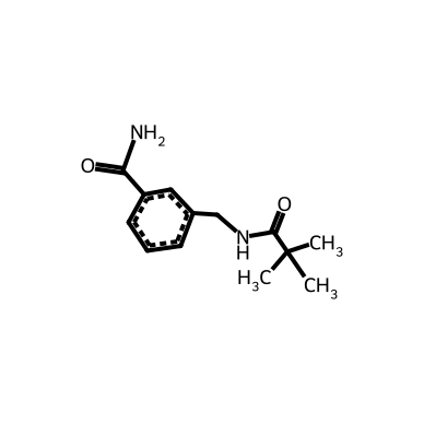 CC(C)(C)C(=O)NCc1cccc(C(N)=O)c1